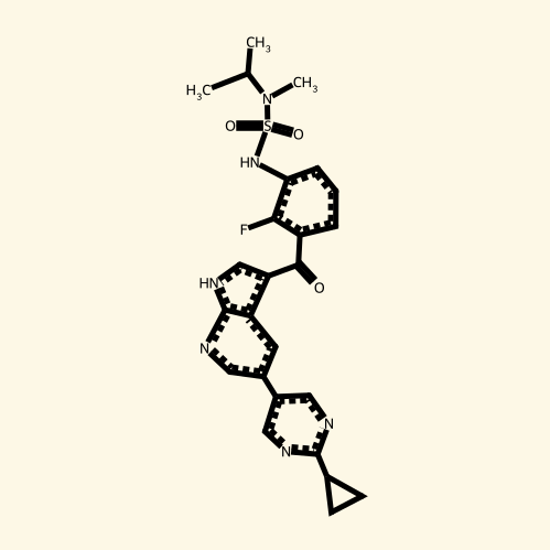 CC(C)N(C)S(=O)(=O)Nc1cccc(C(=O)c2c[nH]c3ncc(-c4cnc(C5CC5)nc4)cc23)c1F